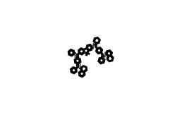 CC1(C)c2cc(N(C3=CCCC=C3)c3ccc(N(c4ccccc4)c4cccc5c4=CCCC=5)cc3)ccc2-c2ccc(N(c3ccccc3)c3ccc(N(C4=c5ccccc5=CCC4)c4ccccc4)cc3)cc21